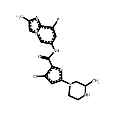 Cc1cn2cc(NC(=O)c3sc(N4CCNC(C)C4)cc3Cl)cc(F)c2n1